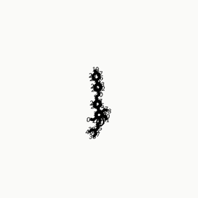 CCc1cc(-c2ccc(CCc3ccc(C4CCC(C)CC4)cc3)cc2)c(CC)c(CC)c1OCCC(CC)CC